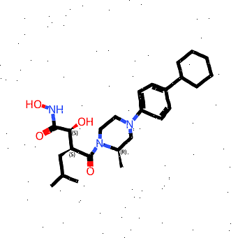 CC(C)C[C@H](C(=O)N1CCN(c2ccc(C3CCCCC3)cc2)C[C@H]1C)[C@H](O)C(=O)NO